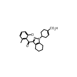 Cc1cccc(Cl)c1C(=O)c1nn(C2CC=C(C(=O)O)CC2)c2c1CCCC2